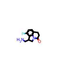 NCC1CN2C(=O)CCc3ccc(F)c1c32